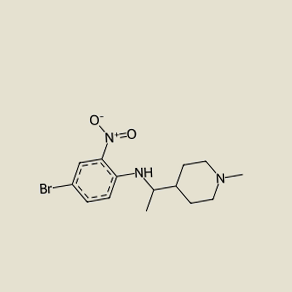 CC(Nc1ccc(Br)cc1[N+](=O)[O-])C1CCN(C)CC1